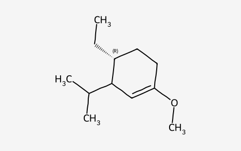 CC[C@@H]1CCC(OC)=CC1C(C)C